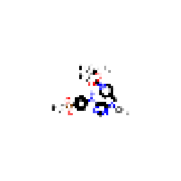 CN(CC1CCN(C(=O)OC(C)(C)C)CC1)c1cc(Nc2ccc(S(C)(=O)=O)cc2)ncn1